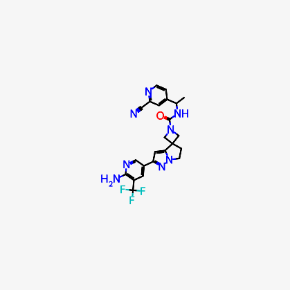 CC(NC(=O)N1CC2(CCn3nc(-c4cnc(N)c(C(F)(F)F)c4)cc32)C1)c1ccnc(C#N)c1